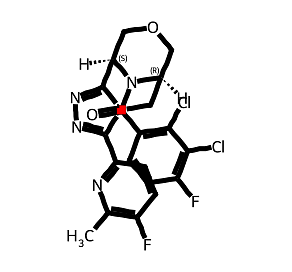 Cc1nc(-c2nnc3n2C[C@@H]2COC[C@H]3N2C(=O)c2ccc(F)c(Cl)c2Cl)ccc1F